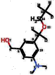 CN(C)c1cc(CO)cc(C(C)(C)O[SiH2]C(C)(C)C)c1